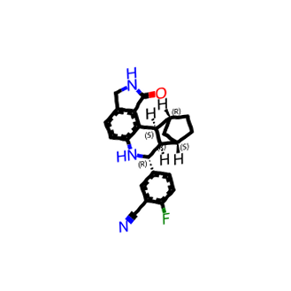 N#Cc1cc([C@@H]2Nc3ccc4c(c3[C@H]3[C@@H]5CC[C@@H](C5)[C@H]32)C(=O)NC4)ccc1F